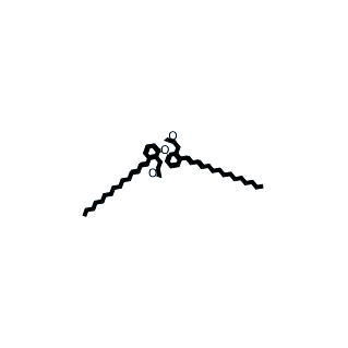 CCCCCCCCCCC/C=C/C=C/c1cccc(Oc2cccc(/C=C/C=C/CCCCCCCCCCC)c2CC2CO2)c1CC1CO1